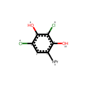 CCCc1cc(Cl)c(O)c(Cl)c1O